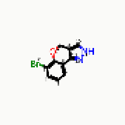 Brc1cccc2c1OCc1c[nH]nc1-2